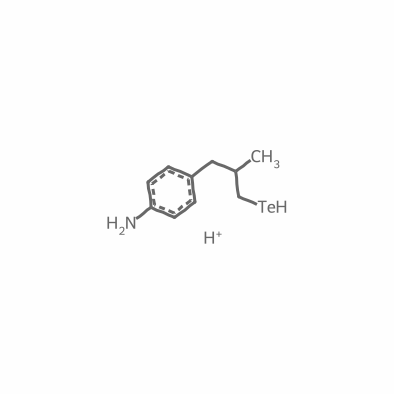 CC(C[TeH])Cc1ccc(N)cc1.[H+]